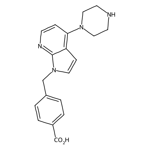 O=C(O)c1ccc(Cn2ccc3c(N4CCNCC4)ccnc32)cc1